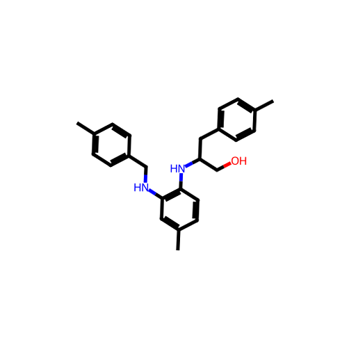 Cc1ccc(CNc2cc(C)ccc2NC(CO)Cc2ccc(C)cc2)cc1